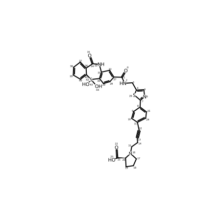 O=C(NCc1cnc(-c2ccc(C#CCCN3CCC[C@H]3C(=O)O)cc2)s1)c1ccc2c(c1)NC(=O)c1ccccc1S2(O)O